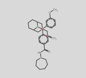 C=CCN1CC2CCCC(C1)N2C(c1ccc(C(=O)NN2CCCCCC2)cc1)c1cccc(OC)c1